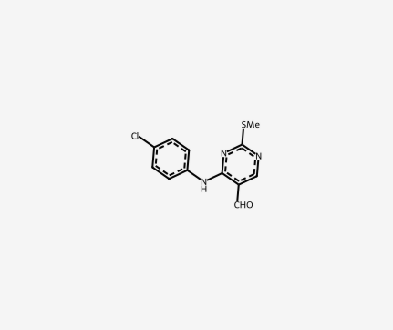 CSc1ncc(C=O)c(Nc2ccc(Cl)cc2)n1